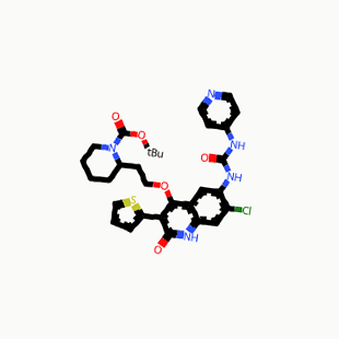 CC(C)(C)OC(=O)N1CCCCC1CCOc1c(-c2cccs2)c(=O)[nH]c2cc(Cl)c(NC(=O)Nc3ccncc3)cc12